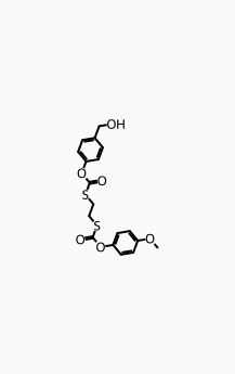 COc1ccc(OC(=O)SCCSC(=O)Oc2ccc(CO)cc2)cc1